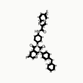 O=C(NC1CCC(n2c(=O)c3cc(F)cnc3n(-c3ccc(Cc4ccccc4)cc3)c2=O)CC1)c1cn2cc(F)ccc2n1